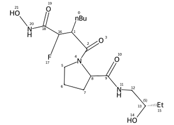 CCCCC(C(=O)N1CCCC1C(=O)NC[C@@H](O)CC)C(F)C(=O)NO